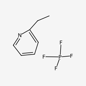 CCc1ccccn1.F[P](F)(F)F